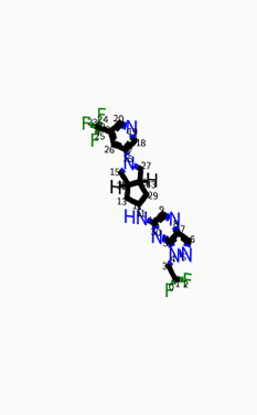 FC(F)Cn1ncc2ncc(N[C@@H]3C[C@@H]4CN(c5cncc(C(F)(F)F)c5)C[C@@H]4C3)nc21